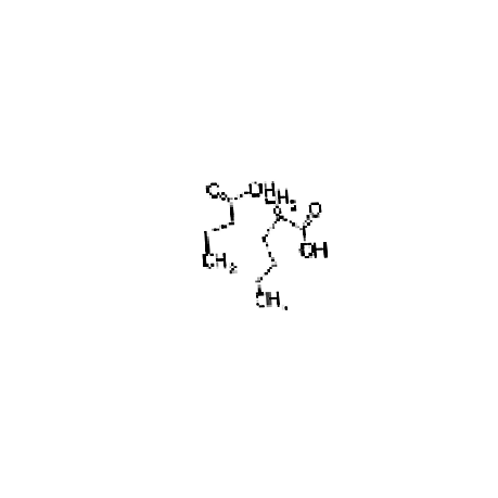 C=C(CCCC)C(=O)O.C=CCC(=O)O